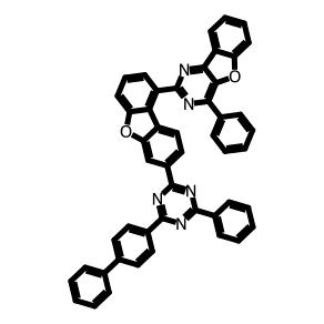 c1ccc(-c2ccc(-c3nc(-c4ccccc4)nc(-c4ccc5c(c4)oc4cccc(-c6nc(-c7ccccc7)c7oc8ccccc8c7n6)c45)n3)cc2)cc1